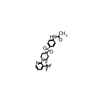 CC(=O)Nc1ccc(S(=O)(=O)N2CCN(c3ncccc3C(F)(F)F)CC2)cc1